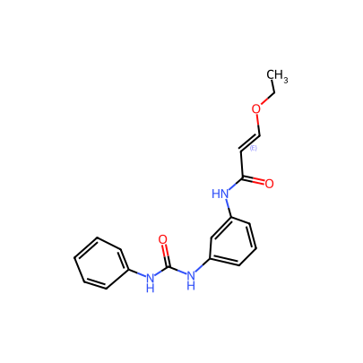 CCO/C=C/C(=O)Nc1cccc(NC(=O)Nc2ccccc2)c1